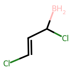 BC(Cl)C=CCl